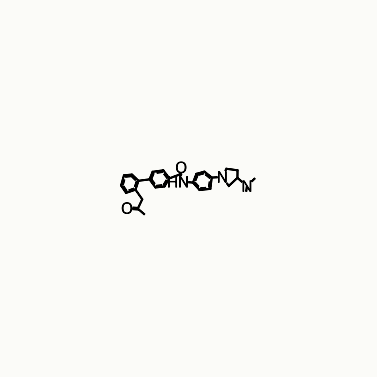 CC(=O)Cc1ccccc1-c1ccc(C(=O)Nc2ccc(N3CCC(N(C)C)C3)cc2)cc1